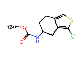 CC(C)(C)OC(=O)NC1CCc2csc(Cl)c2C1